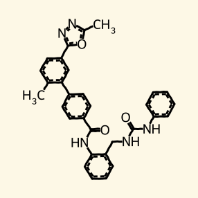 Cc1nnc(-c2ccc(C)c(-c3ccc(C(=O)Nc4ccccc4CNC(=O)Nc4ccccc4)cc3)c2)o1